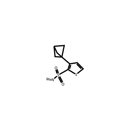 CNS(=O)(=O)c1sccc1C12CC(C1)C2